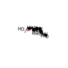 COc1cc(-c2nccc(-c3cccc(Nc4nccc(CNCC56CCC(C(=O)O)(CC5)C6)c4F)c3Cl)c2Cl)ccc1CNC[C@H]1CCC(=O)N1